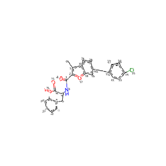 Cc1c(C(=O)NC(Cc2ccccc2)C(=O)O)oc2cc(-c3ccc(Cl)cc3)ccc12